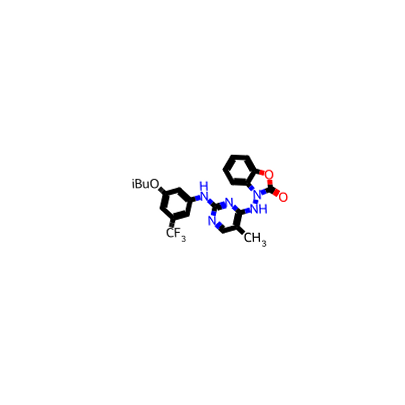 Cc1cnc(Nc2cc(OCC(C)C)cc(C(F)(F)F)c2)nc1Nn1c(=O)oc2ccccc21